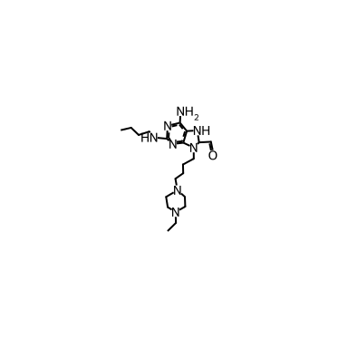 CCCCNc1nc(N)c2c(n1)N(CCCCN1CCN(CC)CC1)C(C=O)N2